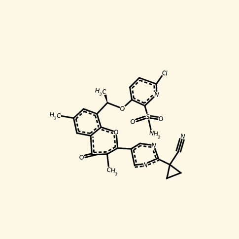 Cc1cc([C@@H](C)Oc2ccc(Cl)nc2S(N)(=O)=O)c2oc(-c3cnc(C4(C#N)CC4)nc3)c(C)c(=O)c2c1